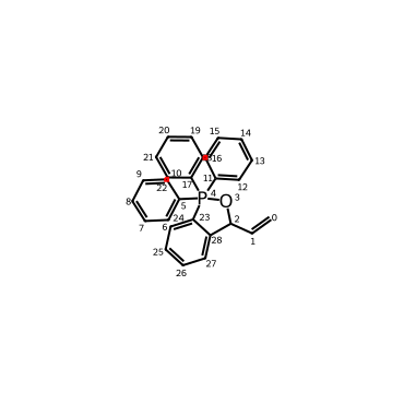 C=CC1OP(c2ccccc2)(c2ccccc2)(c2ccccc2)c2ccccc21